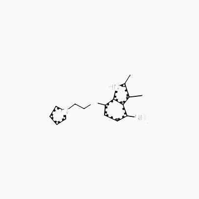 Cc1[nH]c2c(OCCn3cccc3)ccc(N)c2c1C